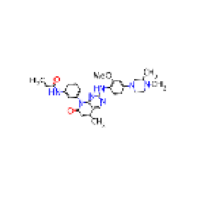 C=CC(=O)Nc1cccc(-n2c(=O)cc(C)c3cnc(Nc4ccc(N5CCN(C)[C@H](C)C5)cc4OC)nc32)c1